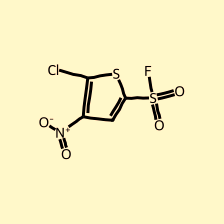 O=[N+]([O-])c1cc(S(=O)(=O)F)sc1Cl